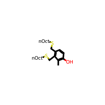 CCCCCCCCSCc1ccc(O)c(C)c1CSCCCCCCCC